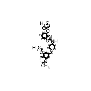 CCOc1cc(CN2CCC(Nc3nc4c(OC(=O)OC)cccc4o3)CC2)cc(OCC)c1F